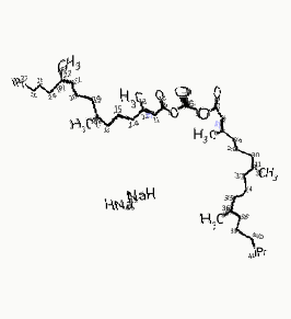 C/C(=C\C(=O)OC(=O)OC(=O)/C=C(\C)CCC[C@H](C)CCC[C@H](C)CCCC(C)C)CCC[C@H](C)CCC[C@H](C)CCCC(C)C.[NaH].[NaH]